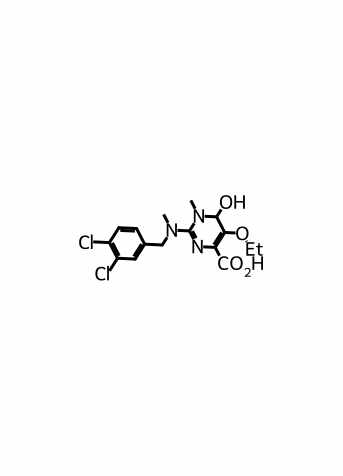 CCOC1=C(C(=O)O)N=C(N(C)Cc2ccc(Cl)c(Cl)c2)N(C)C1O